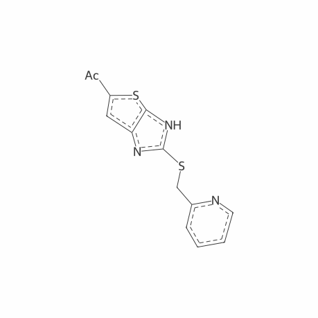 CC(=O)c1cc2nc(SCc3ccccn3)[nH]c2s1